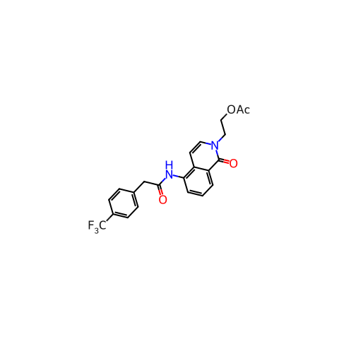 CC(=O)OCCn1ccc2c(NC(=O)Cc3ccc(C(F)(F)F)cc3)cccc2c1=O